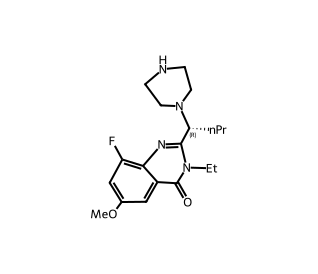 CCC[C@H](c1nc2c(F)cc(OC)cc2c(=O)n1CC)N1CCNCC1